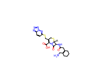 NCC1=C(CC(=O)NC2C(=O)N3C(C(=O)O)=C(CSc4ccc5nnnn5n4)CS[C@H]23)CCCC1